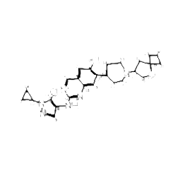 Clc1cc2cnc(Nc3cnn(C4CC4)c3Cl)nc2cc1C1CCN(C2COC3(CCC3)C2)CC1